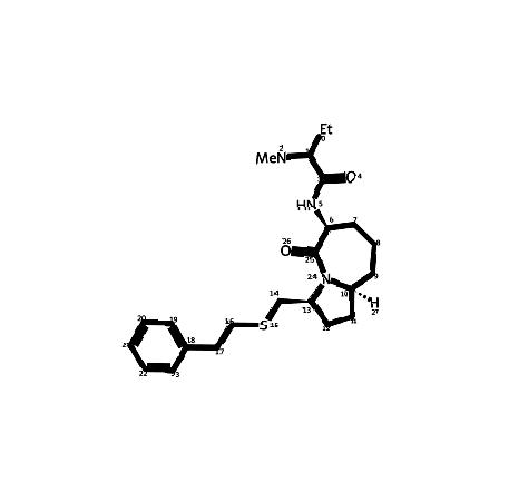 CCC(NC)C(=O)N[C@H]1CCC[C@H]2CC[C@@H](CSCCc3ccccc3)N2C1=O